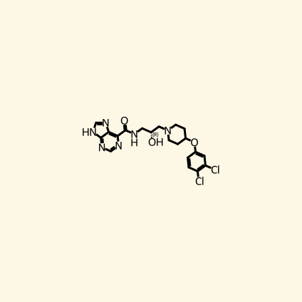 O=C(NC[C@@H](O)CN1CCC(Oc2ccc(Cl)c(Cl)c2)CC1)c1ncnc2[nH]cnc12